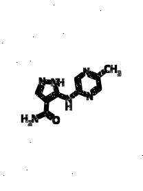 Cc1cnc(Nc2[nH]ncc2C(N)=O)cn1